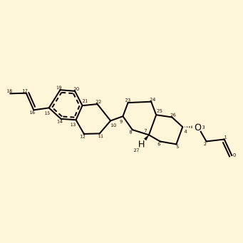 C=CCO[C@@H]1CC[C@@H]2CC(C3CCc4cc(/C=C/C)ccc4C3)CCC2C1